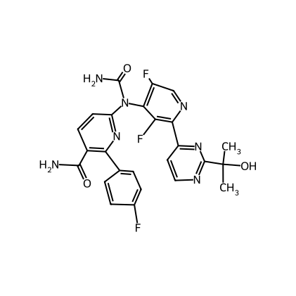 CC(C)(O)c1nccc(-c2ncc(F)c(N(C(N)=O)c3ccc(C(N)=O)c(-c4ccc(F)cc4)n3)c2F)n1